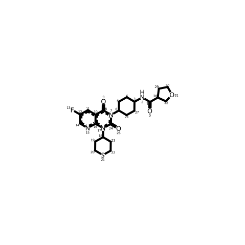 O=C(NC1CCC(n2c(=O)c3cc(F)cnc3n(C3CCSCC3)c2=O)CC1)C1CCOC1